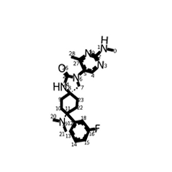 CNc1ncc(N2C[C@]3(CC[C@@](c4cccc(F)c4)(N(C)C)CC3)NC2=O)c(C)n1